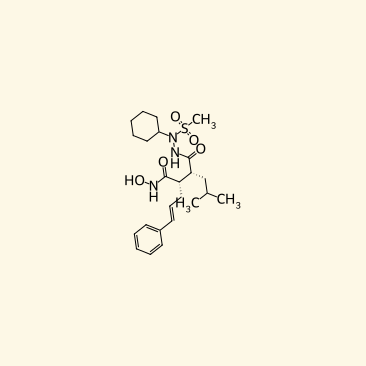 CC(C)C[C@@H](C(=O)NN(C1CCCCC1)S(C)(=O)=O)[C@H](CC=Cc1ccccc1)C(=O)NO